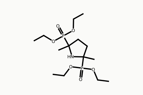 CCOP(=O)(OCC)C1(C)CCC(C)(P(=O)(OCC)OCC)N1